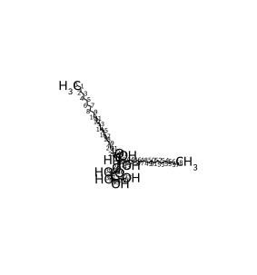 CCCCCCCCCCCCCCCCCCCCCCCC(=O)NC(CO[C@H]1OC(CO)[C@H](O)C(O)C1O)[C@H](O)[C@H](O)CCCCCCCCCCCCCCC